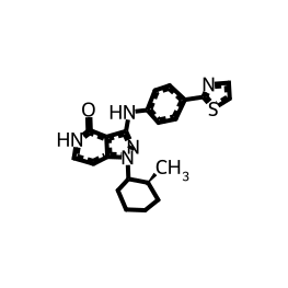 C[C@H]1CCCCC1n1nc(Nc2ccc(-c3nccs3)cc2)c2c(=O)[nH]ccc21